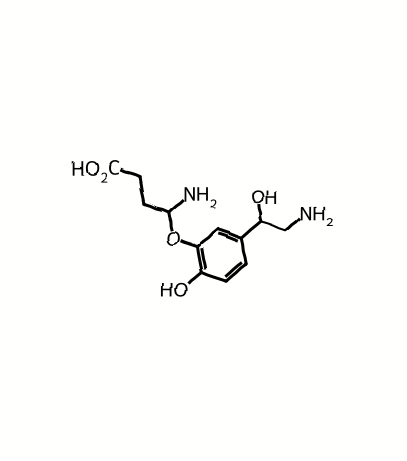 NCC(O)c1ccc(O)c(OC(N)CCC(=O)O)c1